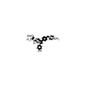 COCC(C)Nc1ncc2c(-c3ccc(CN4CCN(C)CC4)cc3)cc([C@H]3CC[C@H](O)CC3)n2n1